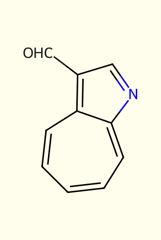 O=Cc1cnc2cccccc1-2